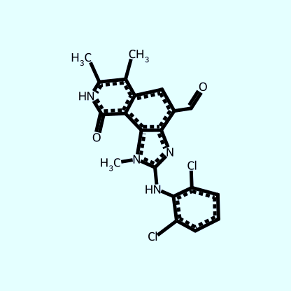 Cc1[nH]c(=O)c2c(cc(C=O)c3nc(Nc4c(Cl)cccc4Cl)n(C)c32)c1C